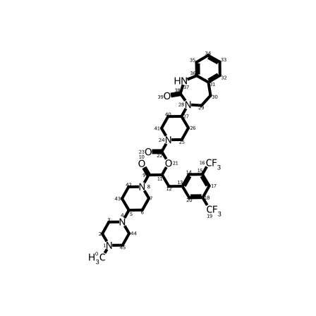 CN1CCN(C2CCN(C(=O)C(Cc3cc(C(F)(F)F)cc(C(F)(F)F)c3)OC(=O)N3CCC(N4CCc5ccccc5NC4=O)CC3)CC2)CC1